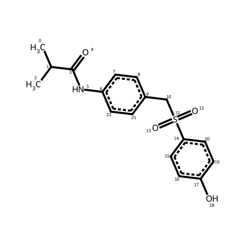 CC(C)C(=O)Nc1ccc(CS(=O)(=O)c2ccc(O)cc2)cc1